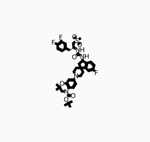 CC(C)(C)OC(=O)N1CC(C)(C)Oc2cc(N3CCC4(CC3)CC(NC(=O)N[C@H](Cc3ccc(F)c(F)c3)CS(C)(=O)=O)c3ccc(F)cc34)ccc21